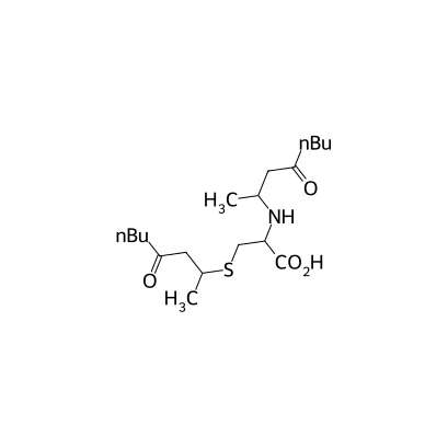 CCCCC(=O)CC(C)NC(CSC(C)CC(=O)CCCC)C(=O)O